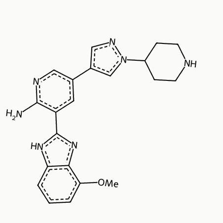 COc1cccc2[nH]c(-c3cc(-c4cnn(C5CCNCC5)c4)cnc3N)nc12